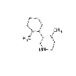 CN1CCCC[C]1C1CNCCN1C